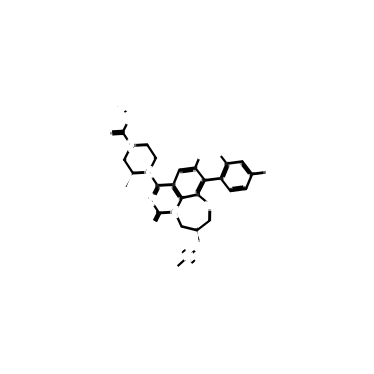 C[C@H]1CN(C(=O)OC(C)(C)C)CCN1c1nc(=O)n2c3c(c(-c4ccc(F)cc4F)c(C(F)(F)F)cc13)SC[C@@H](OS(C)(=O)=O)C2